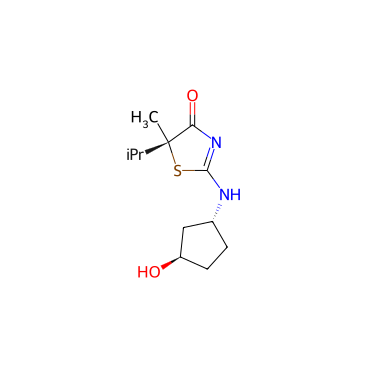 CC(C)[C@]1(C)SC(N[C@@H]2CC[C@@H](O)C2)=NC1=O